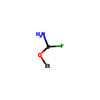 CCOB(N)F